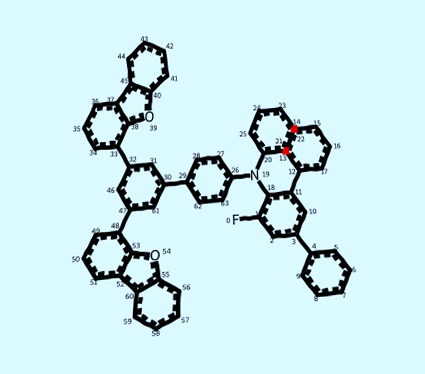 Fc1cc(-c2ccccc2)cc(-c2ccccc2)c1N(c1ccccc1)c1ccc(-c2cc(-c3cccc4c3oc3ccccc34)cc(-c3cccc4c3oc3ccccc34)c2)cc1